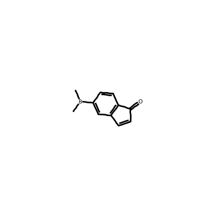 CB(C)c1ccc2c(c1)C=CC2=O